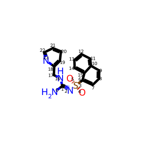 N/C(=N/S(=O)(=O)c1cccc2ccccc12)NCc1ccccn1